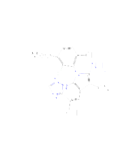 COc1ccc(C)c(-n2c(N)c(C#N)c3cc(C)c4ncnn4c32)c1Cl